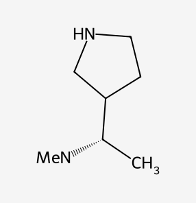 CN[C@@H](C)C1CCNC1